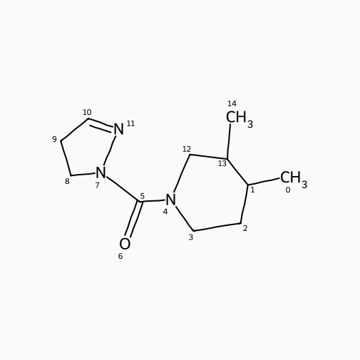 CC1CCN(C(=O)N2CCC=N2)CC1C